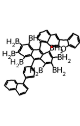 Bc1c(B)c(B)c2c(-c3cccc4cc5c(cc34)oc3ccccc35)c3c(B)c(B)c(B)c(B)c3c(-c3ccc(-c4cccc5ccccc45)cc3)c2c1B